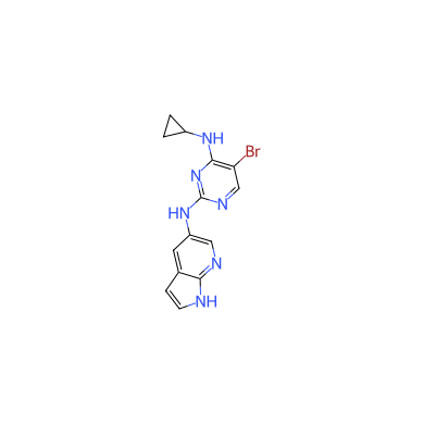 Brc1cnc(Nc2cnc3[nH]ccc3c2)nc1NC1CC1